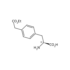 CCOC(=O)Cc1ccc(C[C@H](N)C(=O)O)cc1